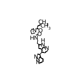 CC(C)=CC(=O)N1CCC[C@H]1C(=O)NCCc1cc2c(-c3cnn4ncccc34)ccnc2[nH]1